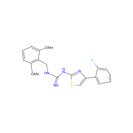 COc1cccc(OC)c1CNC(=N)Nc1nc(-c2ccccc2F)cs1